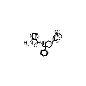 CS/C(=C\[N+](=O)[O-])N1CCC(CNC(=O)c2nccnc2N)(c2ccccc2)CC1